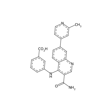 Cc1cc(-c2ccc3c(Nc4cccc(C(=O)O)c4)c(C(N)=O)cnc3c2)ccn1